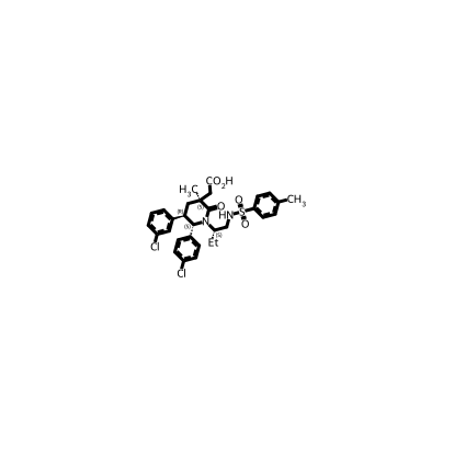 CC[C@@H](CNS(=O)(=O)c1ccc(C)cc1)N1C(=O)[C@](C)(CC(=O)O)C[C@H](c2cccc(Cl)c2)[C@H]1c1ccc(Cl)cc1